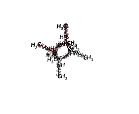 CCCCCCNCCCN1Cc2ccc(cc2)CN(CCCNCCCCCC)C(C)N2C(C)N(CCCNCCCCCC)Cc3ccc(cc3)CN(CCCNCCCCCC)C(C)N(C1C)C(C)N(CCCNCCCCCC)Cc1ccc(cc1)CN(CCCNCCCCCC)C2C